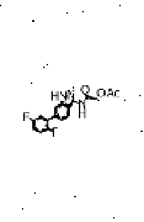 CC(=O)OCC(=O)Nc1n[nH]c2cc(-c3cc(F)ccc3F)ccc12